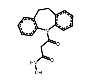 O=C(CC(=O)N1c2ccccc2CCc2ccccc21)NO